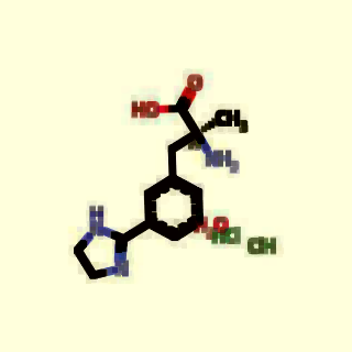 C[C@](N)(Cc1cccc(C2=NCCN2)c1)C(=O)O.Cl.Cl.O